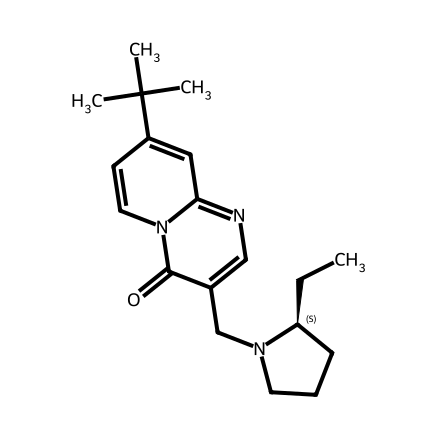 CC[C@H]1CCCN1Cc1cnc2cc(C(C)(C)C)ccn2c1=O